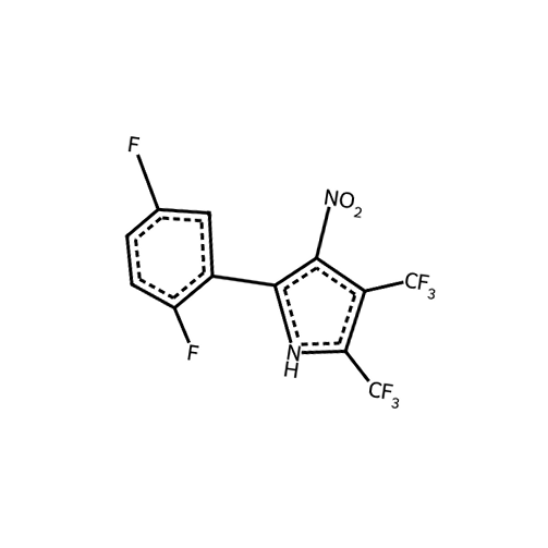 O=[N+]([O-])c1c(-c2cc(F)ccc2F)[nH]c(C(F)(F)F)c1C(F)(F)F